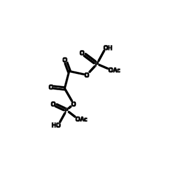 CC(=O)OP(=O)(O)OC(=O)C(=O)OP(=O)(O)OC(C)=O